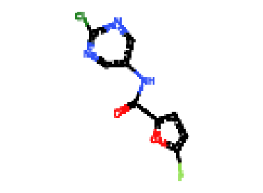 O=C(Nc1cnc(Cl)nc1)c1ccc(F)o1